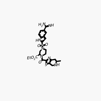 CCOC(=O)C1CN(S(=O)(=O)c2cc3cc(C(=N)N)ccc3[nH]2)CCN1C(=O)c1nc2c(s1)CNC(C)C2